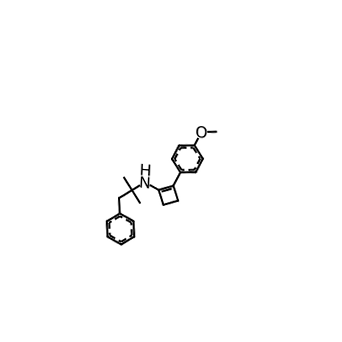 COc1ccc(C2=C(NC(C)(C)Cc3ccccc3)CC2)cc1